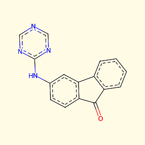 O=C1c2ccccc2-c2cc(Nc3ncncn3)ccc21